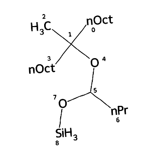 CCCCCCCCC(C)(CCCCCCCC)OC(CCC)O[SiH3]